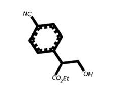 CCOC(=O)C(CO)c1ccc(C#N)cc1